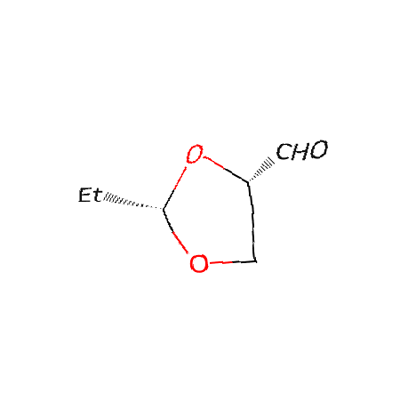 CC[C@H]1OC[C@@H](C=O)O1